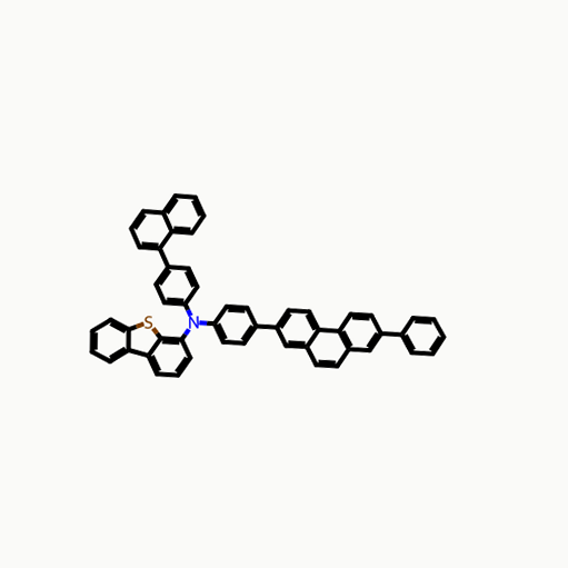 c1ccc(-c2ccc3c(ccc4cc(-c5ccc(N(c6ccc(-c7cccc8ccccc78)cc6)c6cccc7c6sc6ccccc67)cc5)ccc43)c2)cc1